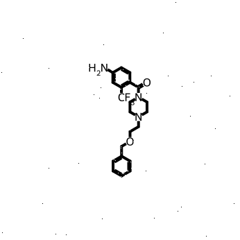 Nc1ccc(C(=O)N2CCN(CCOCc3ccccc3)CC2)c(C(F)(F)F)c1